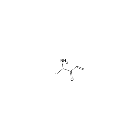 [CH2]C(N)C(=O)C=C